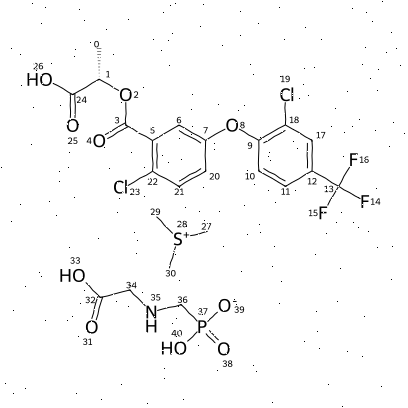 C[C@H](OC(=O)c1cc(Oc2ccc(C(F)(F)F)cc2Cl)ccc1Cl)C(=O)O.C[S+](C)C.O=C(O)CNCP(=O)([O-])O